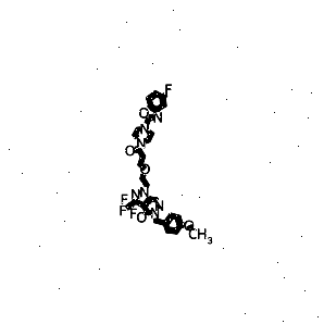 COc1ccc(Cn2ncc3c(c(C(F)(F)F)nn3CCOCCC(=O)N3CCN(c4nc5cc(F)ccc5o4)CC3)c2=O)cc1